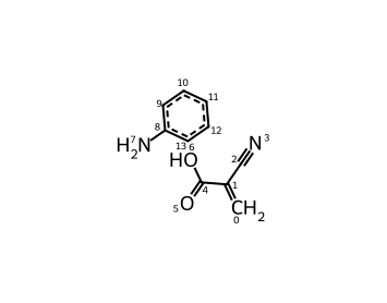 C=C(C#N)C(=O)O.Nc1ccccc1